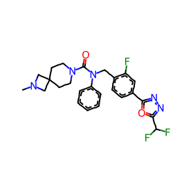 CN1CC2(CCN(C(=O)N(Cc3ccc(-c4nnc(C(F)F)o4)cc3F)c3ccccc3)CC2)C1